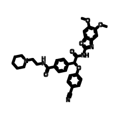 COc1cc2nc(NC(=O)C(Oc3ccc(C#N)cc3)c3ccc(C(=O)NCCN4CCCCC4)cc3)oc2cc1OC